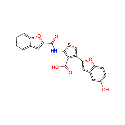 O=C(Nc1scc(-c2cc3cc(O)ccc3o2)c1C(=O)O)c1cc2c(o1)=CCCC=2